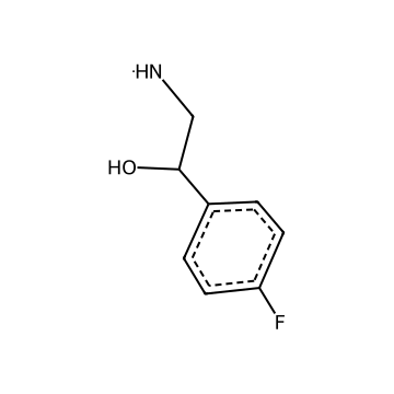 [NH]CC(O)c1ccc(F)cc1